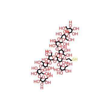 OCC1O[C@@H](O[C@@H]2C(O)[C@@H](OCCCS)OC(CO[C@@H]3OC(CO)[C@@H](O)[C@H](O)C3O[C@H]3OC(CO)[C@@H](O[C@@H]4OC(CO)[C@H](O[C@H]5OC(CO)[C@H](O)[C@H](O)C5O)[C@H](O)C4O)[C@H](O)C3O)[C@H]2O[C@@H]2OC(CO)[C@@H](O)[C@H](O)C2O[C@@H]2OC(CO)[C@@H](O[C@@H]3OC(CO)[C@H](O[C@H]4OC(CO)[C@H](O)[C@H](O)C4O)[C@H](O)C3O)[C@H](O)C2O)C(O)[C@@H](O)[C@@H]1O